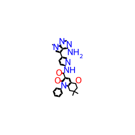 Cn1cc(-c2ccc(NC(=O)c3cc4c(n(-c5ccccc5)c3=O)CC(C)(C)CC4=O)nc2)c2c(N)ncnc21